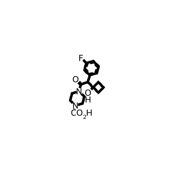 O=C(O)N1CCN(C(=O)C(c2cccc(F)c2)C2(O)CCC2)CC1